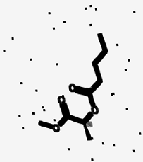 CCCCC(=O)O[C@@H](C)C(=O)OC